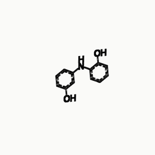 Oc1cccc(Nc2ccccc2O)c1